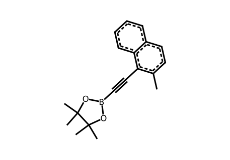 Cc1ccc2ccccc2c1C#CB1OC(C)(C)C(C)(C)O1